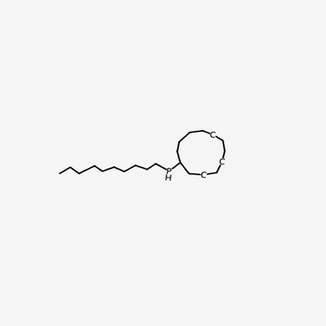 CCCCCCCCCCPC1CCCCCCCCCCC1